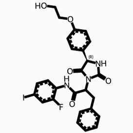 O=C(Nc1ccc(I)cc1F)C(Cc1ccccc1)N1C(=O)N[C@H](c2ccc(OCCO)cc2)C1=O